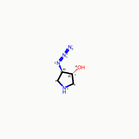 [N-]=[N+]=N[C@@H]1CNC[C@H]1O